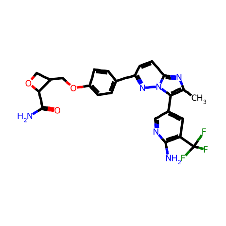 Cc1nc2ccc(-c3ccc(OC[C]4COC4C(N)=O)cc3)nn2c1-c1cnc(N)c(C(F)(F)F)c1